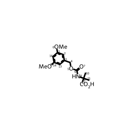 COc1cc(COC(=O)NC(C)(C)C(=O)O)cc(OC)c1